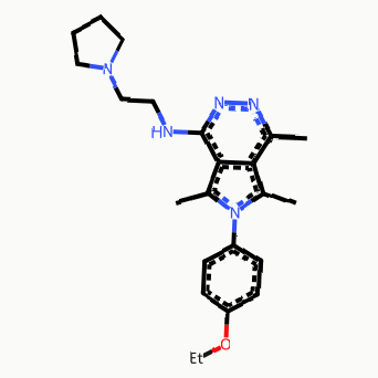 CCOc1ccc(-n2c(C)c3c(C)nnc(NCCN4CCCC4)c3c2C)cc1